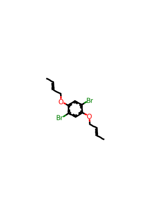 C/C=C/COc1cc(Br)c(OC/C=C/C)cc1Br